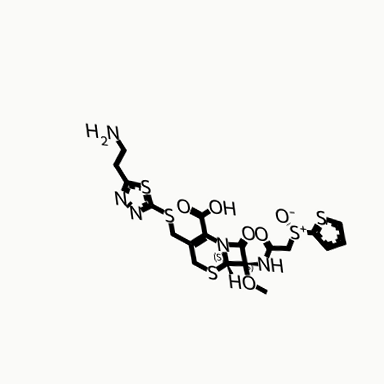 CO[C@@]1(NC(=O)C[S+]([O-])c2cccs2)C(=O)N2C(C(=O)O)=C(CSc3nnc(CCN)s3)CS[C@H]21